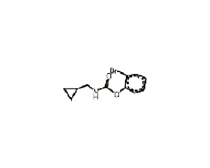 O=C(NCC1CC1)Oc1ccccc1Br